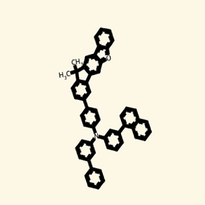 CC1(C)c2ccc(-c3ccc(N(c4cccc(-c5ccccc5)c4)c4cccc(-c5cccc6ccccc56)c4)cc3)cc2-c2cc3oc4ccccc4c3cc21